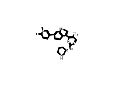 Cn1cc(-c2ccc3c(-c4nc(N[C@H]5CCCNC5)ncc4C(F)(F)F)c[nH]c3c2)ccc1=O